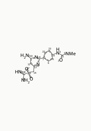 CNC(=O)Nc1ccc(-c2nc(N)cc(CS(=O)(=O)C(=N)N)n2)cc1